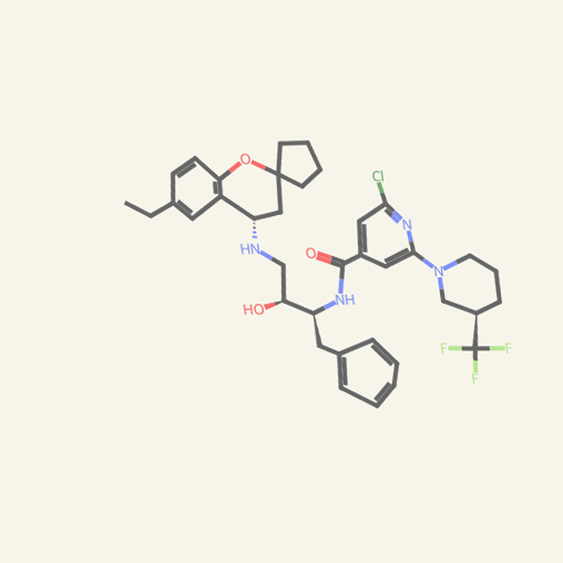 CCc1ccc2c(c1)[C@@H](NC[C@H](O)[C@H](Cc1ccccc1)NC(=O)c1cc(Cl)nc(N3CCC[C@@H](C(F)(F)F)C3)c1)CC1(CCCC1)O2